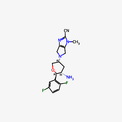 Cn1c(C#N)nc2c1CN([C@H]1CO[C@H](c3cc(F)ccc3F)[C@@H](N)C1)C2